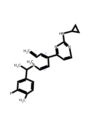 C=C/C=C(\C=C/N(C)C(C)c1ccc(C)c(F)c1)c1ccnc(NC2CC2)n1